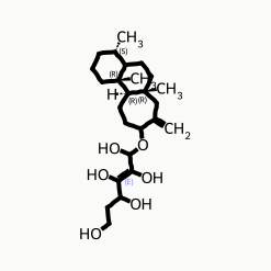 C=C1C[C@@]2(C)CCC3[C@@H](C)CCC[C@@]3(C)[C@@H]2CCC1OC(O)/C(O)=C(\O)C(O)CCO